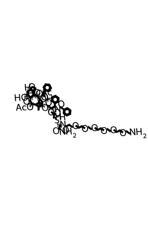 CC(=O)O[C@H]1C(=O)[C@@]2(C)[C@H]([C@H](OC(=O)c3ccccc3)[C@]3(O)C[C@H](OC(=O)[C@H](OC(=O)CSC[C@H](NC(=O)CCOCCOCCOCCOCCOCCOCCN)C(N)=O)[C@@H](NC(=O)c4ccccc4)c4ccccc4)C(C)=C1C3(C)C)[C@]1(OC(C)=O)CO[C@@H]1C[C@@H]2O